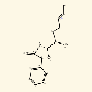 C/C=C/CCC(CCCC)C1OC(=O)C(c2ccccc2)O1